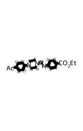 CCOC(=O)c1ccc(N=NN2CCN(c3ccc(C(C)=O)cc3)CC2)cc1